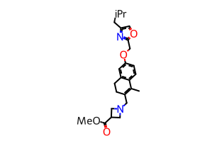 COC(=O)C1CN(CC2=C(C)c3ccc(OCc4nc(CC(C)C)co4)cc3CC2)C1